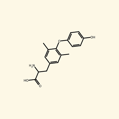 Cc1cc(CC(N)C(=O)O)cc(C)c1Oc1ccc(O)cc1